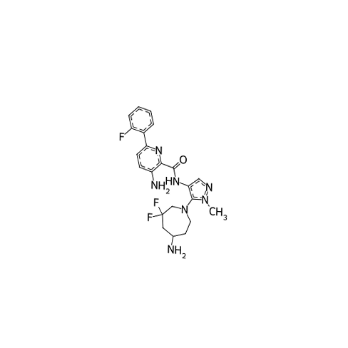 Cn1ncc(NC(=O)c2nc(-c3ccccc3F)ccc2N)c1N1CCC(N)CC(F)(F)C1